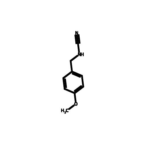 COc1ccc(CNC#N)cc1